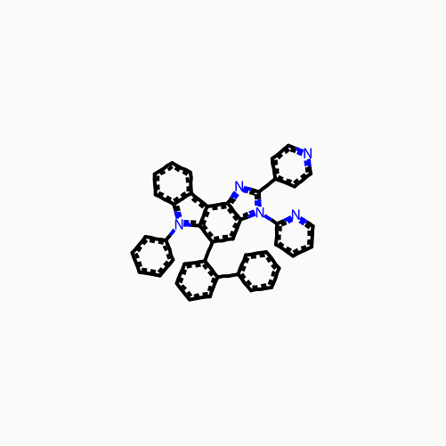 c1ccc(-c2ccccc2-c2cc3c(nc(-c4ccncc4)n3-c3ccccn3)c3c4ccccc4n(-c4ccccc4)c23)cc1